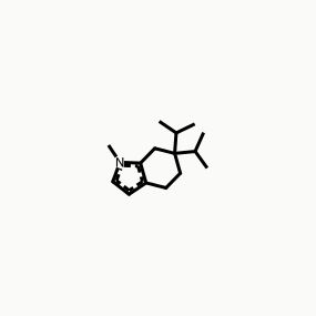 CC(C)C1(C(C)C)CCc2ccn(C)c2C1